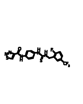 O=C(Nc1ccc(NC(=S)NCc2cc(C(F)(F)F)ccc2F)cc1)c1csnn1